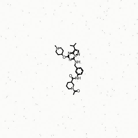 CC(=O)N1CCCC(C(=O)Nc2cccc(CNc3nc(OC4CCN(C)CC4)nc4c(C(C)C)cnn34)c2)C1